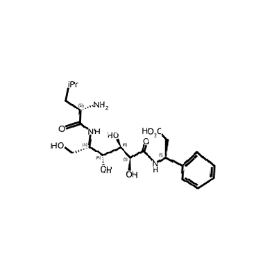 CC(C)C[C@H](N)C(=O)N[C@@H](CO)[C@@H](O)[C@@H](O)[C@H](O)C(=O)N[C@@H](CC(=O)O)c1ccccc1